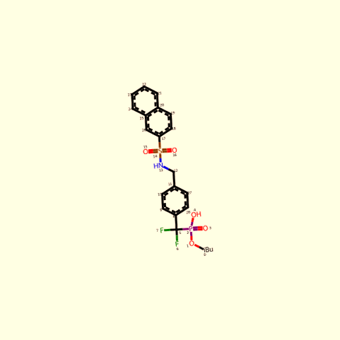 CCC(C)OP(=O)(O)C(F)(F)c1ccc(CNS(=O)(=O)c2ccc3ccccc3c2)cc1